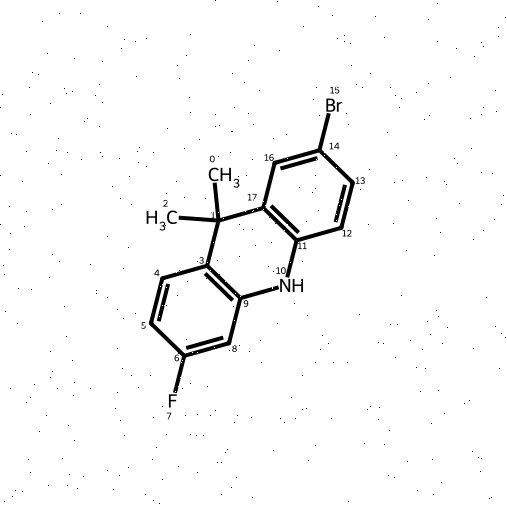 CC1(C)c2ccc(F)cc2Nc2ccc(Br)cc21